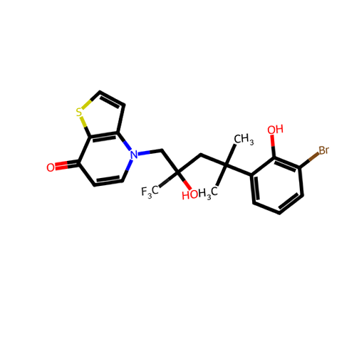 CC(C)(CC(O)(Cn1ccc(=O)c2sccc21)C(F)(F)F)c1cccc(Br)c1O